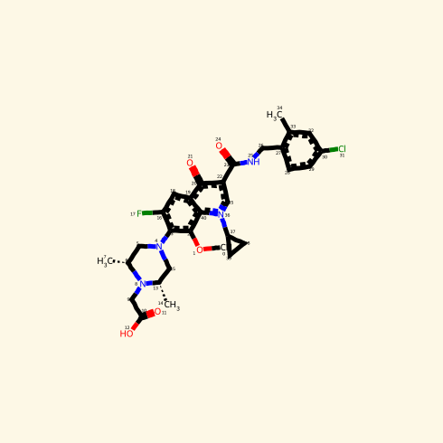 COc1c(N2C[C@@H](C)N(CC(=O)O)[C@@H](C)C2)c(F)cc2c(=O)c(C(=O)NCc3ccc(Cl)cc3C)cn(C3CC3)c12